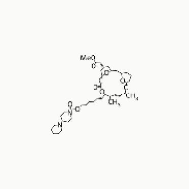 COC(=O)/C=C1\CC2CC(=O)OC(/C=C/CCCCOC(=O)N3CCC(N4CCCCC4)CC3)C(C)/C=C/C(C)CC3CCCC(CC(C1)O2)O3